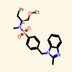 CCOC[C@H](CC(C)C)N(C)S(=O)(=O)c1ccc(Cn2c(C)nc3ccccc32)cc1